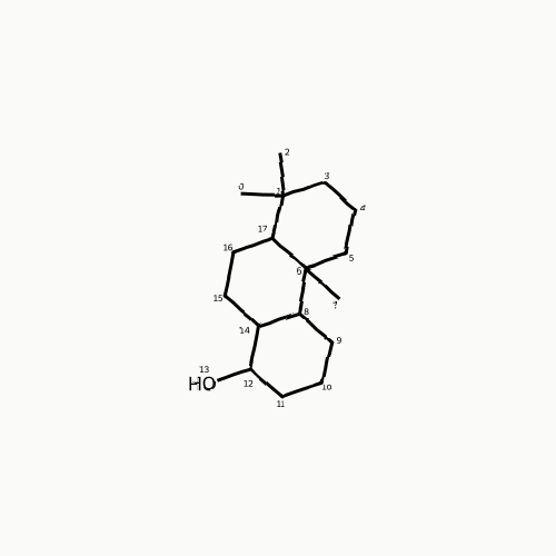 CC1(C)CCCC2(C)C3CCCC(O)C3CCC12